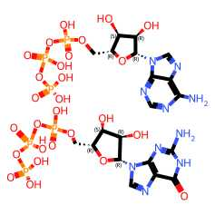 Nc1nc2c(ncn2[C@@H]2O[C@H](COP(=O)(O)OP(=O)(O)OP(=O)(O)O)[C@@H](O)[C@H]2O)c(=O)[nH]1.Nc1ncnc2c1ncn2[C@@H]1O[C@H](COP(=O)(O)OP(=O)(O)OP(=O)(O)O)[C@@H](O)[C@H]1O